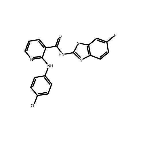 O=C(Nc1nc2ccc(F)cc2s1)c1cccnc1Nc1ccc(Cl)cc1